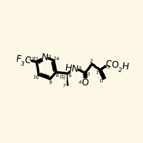 C=C(CC(=O)N[C@@H](C)c1ccc(C(F)(F)F)nc1)C(=O)O